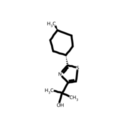 CC(C)(O)c1csc([C@H]2CC[C@H](C)CC2)n1